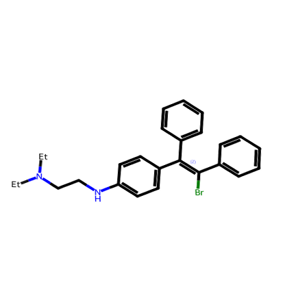 CCN(CC)CCNc1ccc(/C(=C(\Br)c2ccccc2)c2ccccc2)cc1